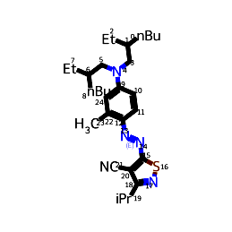 CCCCC(CC)CN(CC(CC)CCCC)c1ccc(/N=N/c2snc(C(C)C)c2C#N)c(C)c1